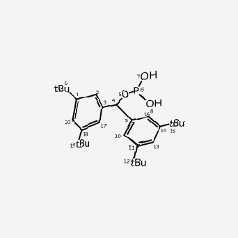 CC(C)(C)c1cc(C(OP(O)O)c2cc(C(C)(C)C)cc(C(C)(C)C)c2)cc(C(C)(C)C)c1